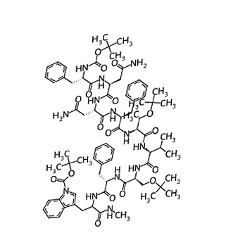 CNC(=O)C(Cc1cn(C(=O)OC(C)(C)C)c2ccccc12)NC(=O)[C@H](Cc1ccccc1)NC(=O)[C@H](COC(C)(C)C)NC(=O)[C@@H](NC(=O)[C@@H](NC(=O)[C@H](Cc1ccccc1)NC(=O)[C@H](CC(N)=O)NC(=O)[C@H](CC(N)=O)NC(=O)[C@H](Cc1ccccc1)NC(=O)OC(C)(C)C)[C@@H](C)OC(C)(C)C)C(C)C